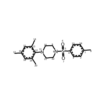 Cc1ccc(S(=O)(=O)N2CCN(c3c(C)cc(C)cc3C)CC2)cc1